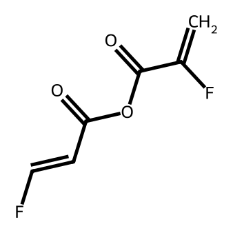 C=C(F)C(=O)OC(=O)C=CF